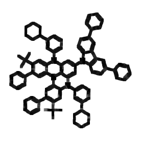 CC(C)(C)c1cc2c(cc1-c1ccccc1)B1c3cc(-c4ccccc4)c(C(C)(C)C)cc3N(c3cccc(C4CCCCC4)c3)c3cc(-n4c5ccc(-c6ccccc6)cc5c5cc(-c6ccccc6)ccc54)cc(c31)N2c1cccc(C2CCCCC2)c1